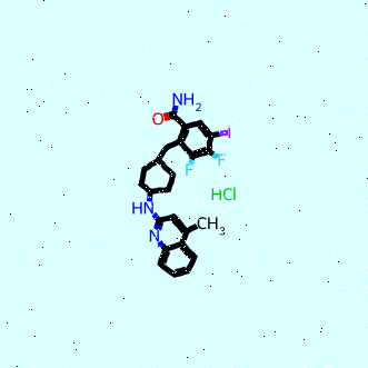 Cc1cc(NC2CCC(Cc3c(C(N)=O)cc(I)c(F)c3F)CC2)nc2ccccc12.Cl